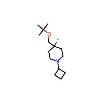 CC(C)(C)OCC1(F)CCN(C2CCC2)CC1